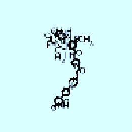 COc1cc(C(=O)NC2CCN(C(=O)CCN3CCN(c4ccc(C5CCC(=O)NC5=O)cc4)CC3)CC2)ccc1Nc1ncc2c(n1)N(C(C)C)CC(F)(F)C(=O)N2C